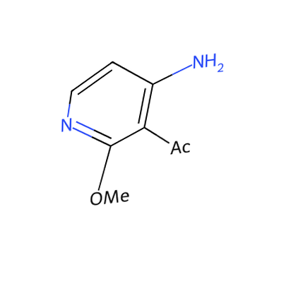 COc1nccc(N)c1C(C)=O